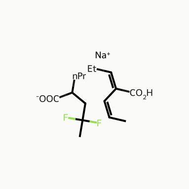 C/C=C\C(=C/CC)C(=O)O.CCCC(CC(C)(F)F)C(=O)[O-].[Na+]